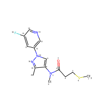 CCN(C(=O)CCSC(F)(F)F)c1cn(-c2cncc(F)c2)nc1C